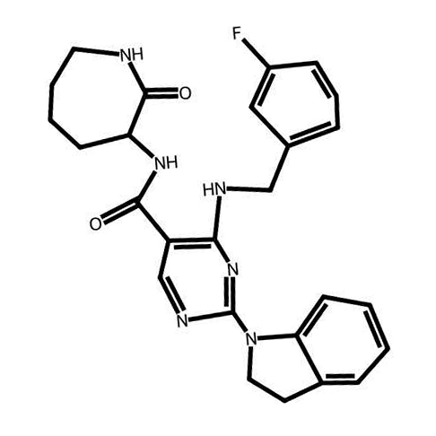 O=C(NC1CCCCNC1=O)c1cnc(N2CCc3ccccc32)nc1NCc1cccc(F)c1